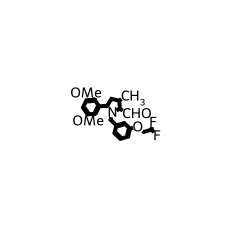 COc1cccc(OC)c1C1CC(C)C(C=O)N1Cc1cccc(OCC(F)F)c1